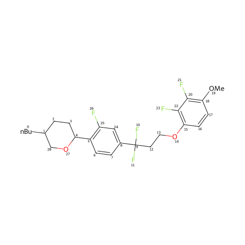 CCCCC1CCC(c2ccc(C(F)(F)CCOc3ccc(OC)c(F)c3F)cc2F)OC1